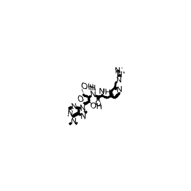 CN(C)c1ncnc2c1ncn2[C@@H]1O[C@H](CO)C(NC(=O)[C@@H](N)Cc2ccnc(CN=[N+]=[N-])c2)[C@@H]1O